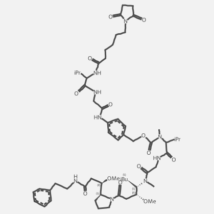 CC[C@H](C)[C@@H]([C@@H](CC(=O)N1CCC[C@H]1[C@@H](CC(=O)NCCc1ccccc1)OC)OC)N(C)C(=O)CNC(=O)C(C(C)C)N(C)C(=O)OCc1ccc(NC(=O)CNC(=O)C(NC(=O)CCCCCN2C(=O)CCC2=O)C(C)C)cc1